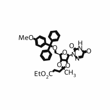 CCOC(=O)CC[C@@]1(C)OC2C(O1)[C@@H](COC(c1ccccc1)(c1ccccc1)c1ccc(OC)cc1)O[C@H]2n1ncc(=O)[nH]c1=O